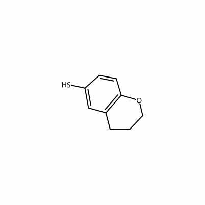 Sc1ccc2c(c1)[CH]CCO2